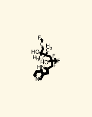 CC(C)(CC(O)(Cc1cc2cnccc2[nH]1)C(F)(F)F)C(C)(O)CCCF